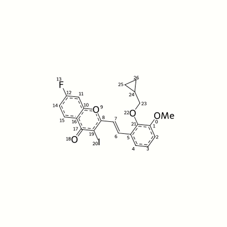 COc1cccc(/C=C/c2oc3cc(F)ccc3c(=O)c2I)c1OCC1CC1